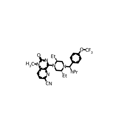 CCC[C@H](c1ccc(OC(F)(F)F)cc1)N1C[C@H](CC)N(c2nc(=O)n(C)c3ccc(C#N)nc23)C[C@H]1CC